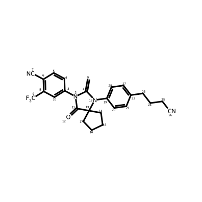 C=C1N(c2ccc(C#N)c(C(F)(F)F)c2)C(=O)C2(CCCC2)N1c1ccc(CCCC#N)cc1